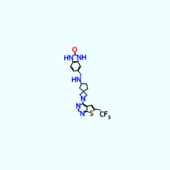 O=c1[nH]c2ccc(CNC3CCC4(C3)CN(c3ncnc5sc(CC(F)(F)F)cc35)C4)cc2[nH]1